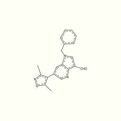 Cc1noc(C)c1-c1cnc2c(C=O)cn(Cc3ccccc3)c2c1